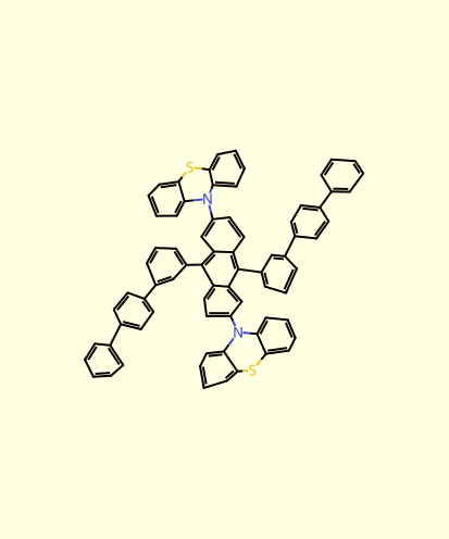 c1ccc(-c2ccc(-c3cccc(-c4c5ccc(N6c7ccccc7Sc7ccccc76)cc5c(-c5cccc(-c6ccc(-c7ccccc7)cc6)c5)c5ccc(N6c7ccccc7Sc7ccccc76)cc45)c3)cc2)cc1